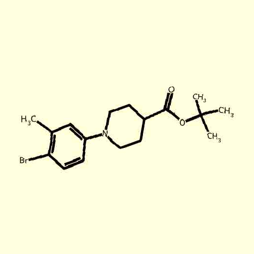 Cc1cc(N2CCC(C(=O)OC(C)(C)C)CC2)ccc1Br